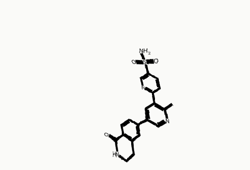 Cc1ncc(-c2ccc3c(c2)CCNC3=O)cc1-c1ccc(S(N)(=O)=O)cn1